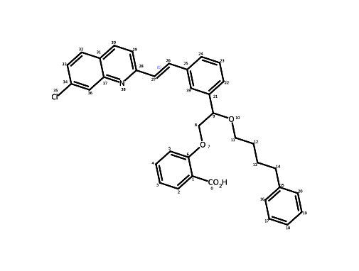 O=C(O)c1ccccc1OCC(OCCCCc1ccccc1)c1cccc(/C=C/c2ccc3ccc(Cl)cc3n2)c1